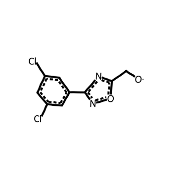 [O]Cc1nc(-c2cc(Cl)cc(Cl)c2)no1